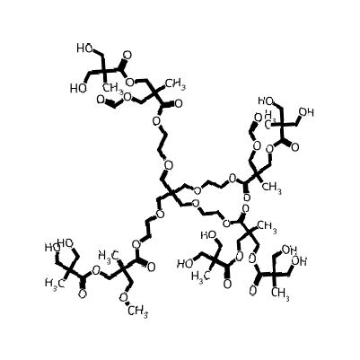 COCC(C)(COC(=O)C(C)(CO)CO)C(=O)OCCOCC(COCCOC(=O)C(C)(COC=O)COC(=O)C(C)(CO)CO)(COCCOC(=O)C(C)(COC=O)COC(=O)C(C)(CO)CO)COCCOC(=O)C(C)(COC(=O)C(C)(CO)CO)COC(=O)C(C)(CO)CO